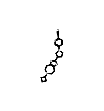 N#Cc1ccc(N2CCC(c3nc4c(s3)CCN(C3CCC3)CC4)C2)cn1